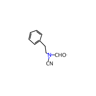 N#CN([C]=O)CCc1ccccc1